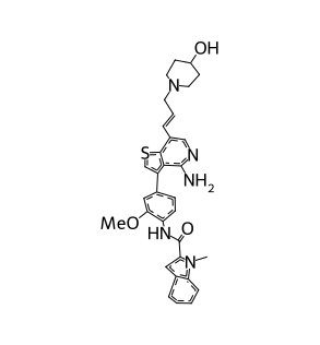 COc1cc(-c2csc3c(C=CCN4CCC(O)CC4)cnc(N)c23)ccc1NC(=O)c1cc2ccccc2n1C